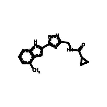 Cc1cccc2[nH]c(-c3nnc(CNC(=O)C4CC4)s3)cc12